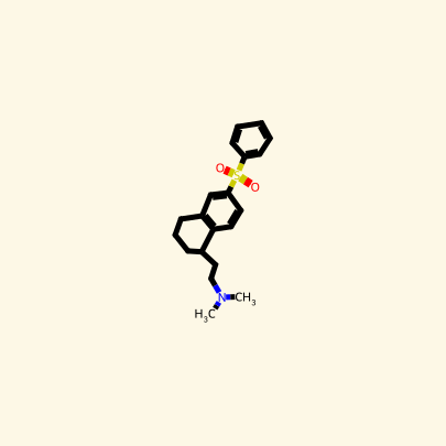 CN(C)CCC1CCCc2cc(S(=O)(=O)c3ccccc3)ccc21